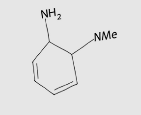 CNC1C=CC=CC1N